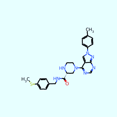 CSc1ccc(CNC(=O)[C@H]2CN(c3ncnc4nn(-c5ccc(C)cc5)cc34)CCN2)cc1